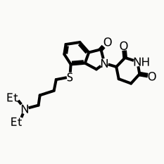 CCN(CC)CCCCSc1cccc2c1CN(C1CCC(=O)NC1=O)C2=O